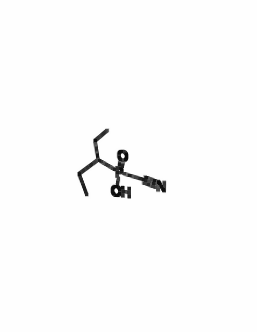 CCC(CC)P(=O)(O)C#N